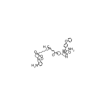 CN(C/C=C/C(=O)N1CCC([C@@H]2CCNc3c(C(N)=O)c(-c4ccc(Oc5ccccc5)cc4)nn32)CC1)CCCCCCN1C(=O)CCC(N2Cc3c(N)cccc3C2=O)C1=O